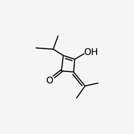 CC(C)=C1C(=O)C(C(C)C)=C1O